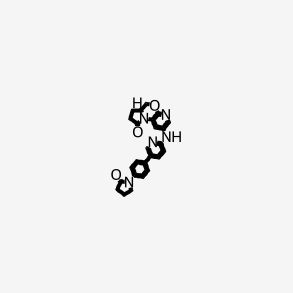 O=C1CCCN1c1ccc(-c2ccc(Nc3cnc4c(c3)N3C(=O)CC[C@H]3CO4)nc2)cc1